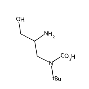 CC(C)(C)N(CC(N)CO)C(=O)O